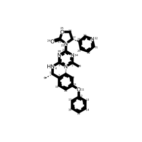 Cc1nc(N[C@@H](C)c2ccc(Oc3ccccc3)cc2)nc(N2C(=O)OC[C@@H]2c2cccnc2)n1